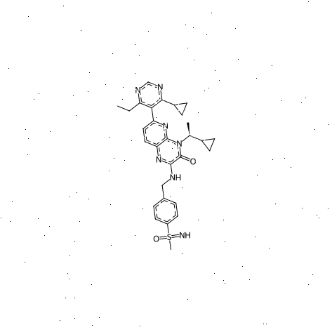 CCc1ncnc(C2CC2)c1-c1ccc2nc(NCc3ccc(S(C)(=N)=O)cc3)c(=O)n([C@@H](C)C3CC3)c2n1